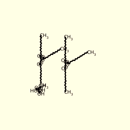 CCCCCCCCCCCCCCCC(=O)OCC(COC(=O)CCCCCCCCCCCCCCC)OC(=O)CCCCCCCCCCCCCCC.CCCCCCCCCCCCCCCCCC(=O)OCC(COC(=O)CCCCCCCCCCCCCCCCC)OC(=O)CCCCCCCCCCCCCCCCC.O=C(O)CC(O)(CC(=O)O)C(=O)O